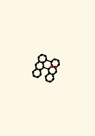 c1ccc(-c2cccc3cc4ccccc4c(-c4cccc5ccccc45)c23)cc1